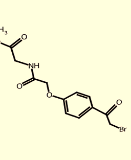 COC(=O)CNC(=O)COc1ccc(C(=O)CBr)cc1